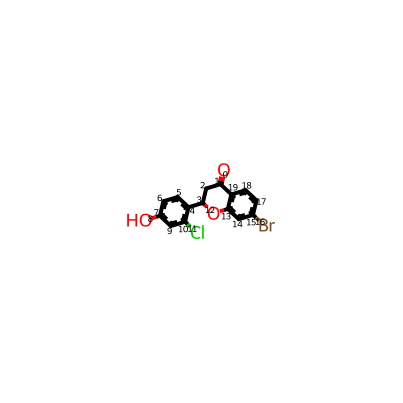 O=C1CC(c2ccc(O)cc2Cl)Oc2cc(Br)ccc21